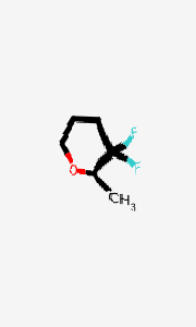 CC1OCCCC1(F)F